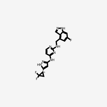 Fc1cc(CNc2nccc(Nc3cc([C@@H]4CC4(F)F)[nH]n3)n2)c2cn[nH]c2c1